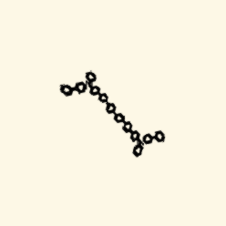 C1=CC(c2ccc(-c3ccc(N(c4ccccc4)c4ccc(-c5ccccc5)cc4)cc3)cc2)CC=C1c1ccc(-c2ccc(-c3ccc(N(c4ccccc4)c4ccc(-c5ccccc5)cc4)cc3)cc2)cc1